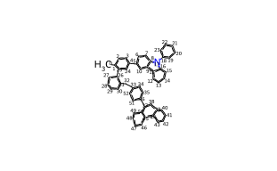 Cc1ccc(-c2ccc3c(c2)c2ccccc2n3-c2ccccc2)cc1-c1ccccc1Cc1ccc(-c2cc3ccccc3c3ccccc23)cc1